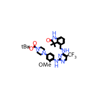 COc1cc(N2CCN(C(=O)OC(C)(C)C)CC2)ccc1Nc1ncc(C(F)(F)F)c(NCc2cccc3c2C(C)(C)C(=O)N3)n1